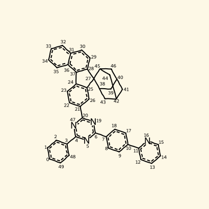 c1ccc(-c2nc(-c3ccc(-c4ccccn4)cc3)nc(-c3ccc4c(c3)C3(c5ccc6ccccc6c5-4)C4CC5CC(C4)CC3C5)n2)cc1